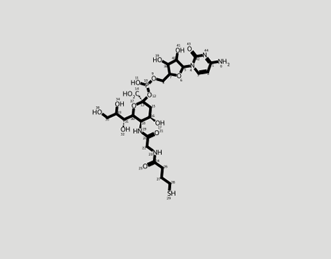 Nc1ccn(C2OC(COP(O)O[C@@]3(C(=O)O)C[C@@H](O)[C@@H](NC(=O)CNC(=O)CCCS)C([C@H](O)C(O)CO)O3)C(O)C2O)c(=O)n1